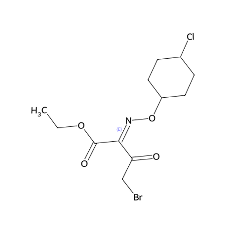 CCOC(=O)/C(=N/OC1CCC(Cl)CC1)C(=O)CBr